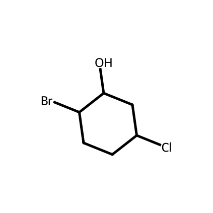 OC1CC(Cl)CCC1Br